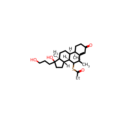 CCC(=O)SC1C(C)C2=CC(=O)CC[C@]2(C)[C@@H]2CC[C@@]3(C)[C@@H](CCC3(O)CCCO)[C@H]12